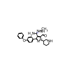 CN/N=C(/N)c1c(-c2ccc(Oc3ccccc3)cc2)nn(C2CCCNC2)c1C=O